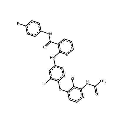 CC(=O)Nc1nccc(Oc2ccc(Nc3ncccc3C(=O)Nc3ccc(F)cc3)cc2F)c1Cl